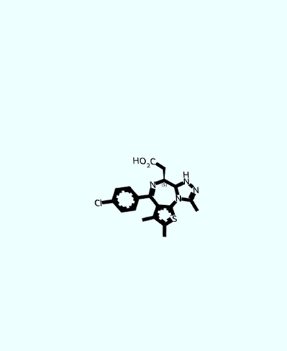 CC1=NNC2[C@H](CC(=O)O)N=C(c3ccc(Cl)cc3)c3c(sc(C)c3C)N12